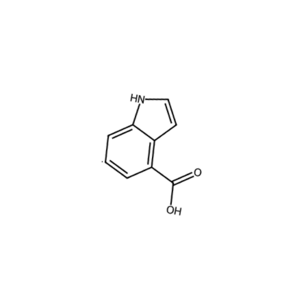 O=C(O)c1c[c]cc2[nH]ccc12